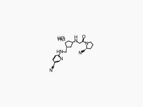 Cl.Cl.N#Cc1ccc(NC[C@H]2CC[C@@H](NCC(=O)N3CCC[C@H]3C#N)C2)nc1